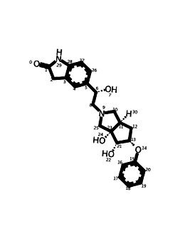 O=C1Cc2cc([C@H](O)CN3C[C@H]4C[C@H](Oc5ccccc5)[C@H](O)[C@@]4(O)C3)ccc2N1